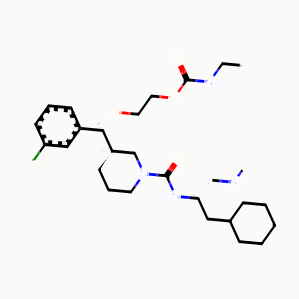 CCNC(=O)OCCO[C@@H](c1cccc(Cl)c1)[C@@H]1CCCN(C(=O)N[C@H](CNC)CC2CCCCC2)C1